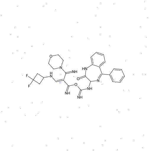 N=C(NC1N=C(c2ccccc2)c2ccccc2NC1=O)OC(=N)/C(=C/NC1CC(F)(F)C1)C(=N)N1CCOCC1